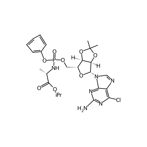 CC(C)OC(=O)[C@H](C)NP(=O)(OC[C@H]1O[C@@H](n2cnc3c(Cl)nc(N)nc32)[C@@H]2OC(C)(C)O[C@@H]21)Oc1ccccc1